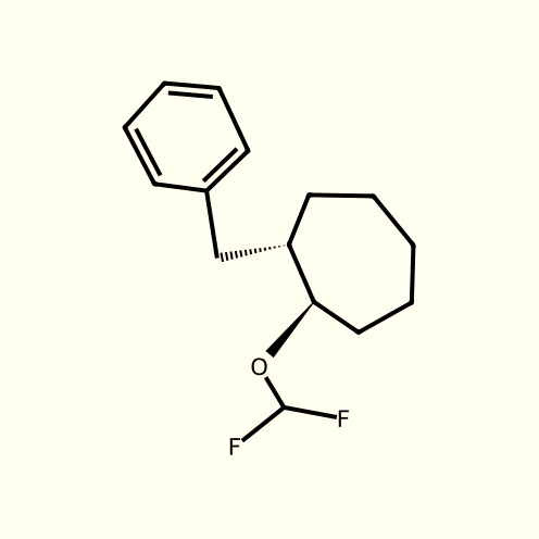 FC(F)O[C@@H]1CCCCC[C@H]1Cc1ccccc1